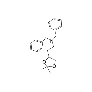 CC1(C)OCC(CCN(Cc2ccccc2)Cc2ccccc2)O1